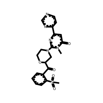 Cn1c(N2CCOC(C(=O)c3ccccc3S(C)(=O)=O)C2)nc(-c2ccncn2)cc1=O